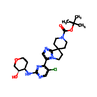 CC(C)(C)OC(=O)N1CCC2(CC1)CCn1c(-c3nc(N[C@@H]4CCOC[C@H]4O)ncc3Cl)cnc12